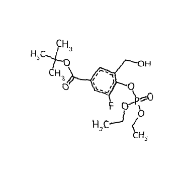 CCOP(=O)(OCC)Oc1c(F)cc(C(=O)OC(C)(C)C)cc1CO